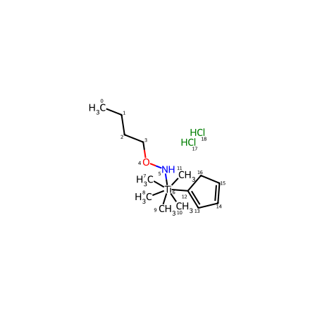 CCCCO[NH][Ti]([CH3])([CH3])([CH3])([CH3])([CH3])[C]1=CC=CC1.Cl.Cl